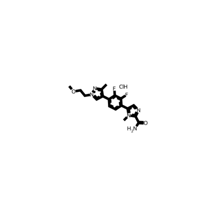 COCCn1cc(-c2ccc(-c3cnc(C(N)=O)n3C)c(F)c2F)c(C)n1.Cl